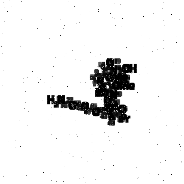 CC[C@H](C)[C@@H]([C@@H](CC(=O)N1CCC[C@H]1[C@H](OC)[C@@H](C)C(=O)N[C@H](C)[C@@H](O)c1ccccc1)OC)N(C)C(=O)CNC(=O)C(C(C)C)N(C)C(=O)CCOCCOCCOCCN